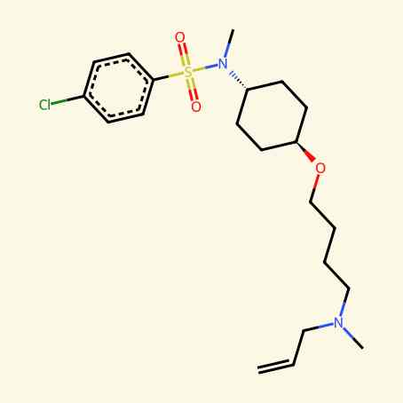 C=CCN(C)CCCCO[C@H]1CC[C@H](N(C)S(=O)(=O)c2ccc(Cl)cc2)CC1